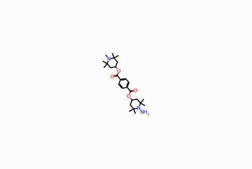 CN1C(C)(C)CC(OC(=O)c2ccc(C(=O)OC3CC(C)(C)N(N)C(C)(C)C3)cc2)CC1(C)C